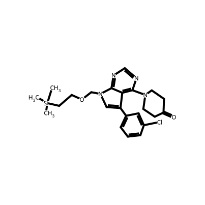 C[Si](C)(C)CCOCn1cc(-c2cccc(Cl)c2)c2c(N3CCC(=O)CC3)ncnc21